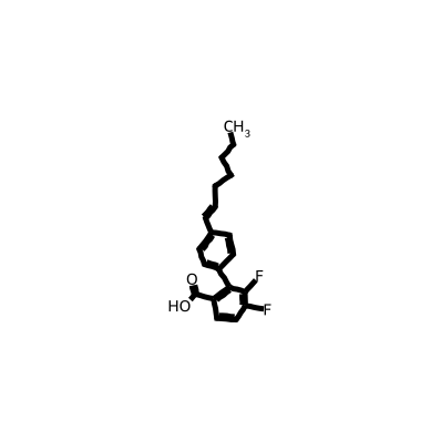 CCCCC/C=C/c1ccc(-c2c(C(=O)O)ccc(F)c2F)cc1